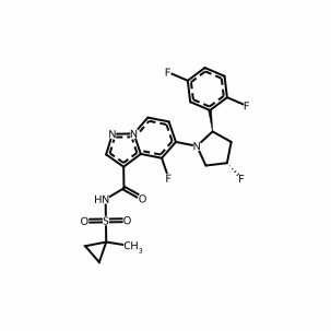 CC1(S(=O)(=O)NC(=O)c2cnn3ccc(N4C[C@@H](F)C[C@@H]4c4cc(F)ccc4F)c(F)c23)CC1